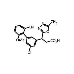 COc1cccc(C#N)c1-c1cc(Cl)cc(C(CC(=O)O)c2nnc(C)o2)c1